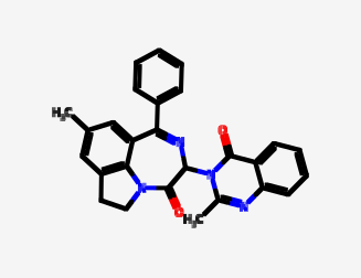 Cc1cc2c3c(c1)C(c1ccccc1)=NC(n1c(C)nc4ccccc4c1=O)C(=O)N3CC2